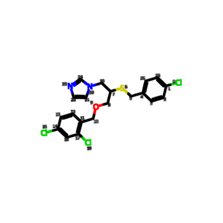 Clc1ccc(CSC(COCc2ccc(Cl)cc2Cl)Cn2ccnc2)cc1